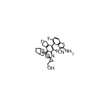 N#Cc1c(N)sc2ccc(F)c(-c3c4c(c5c(N6C7CCC6CN(CC6CC6CO)C7)ncnc5c3F)COC4)c12